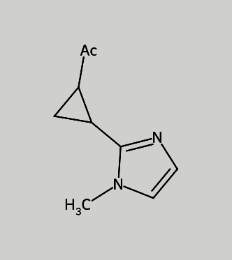 CC(=O)C1CC1c1nccn1C